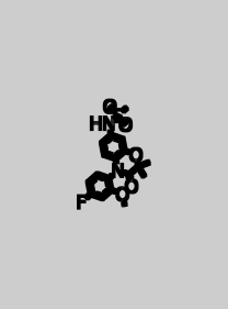 COc1cc(F)ccc1N1C(=O)C(C)(C)Oc2cc(NS(C)(=O)=O)ccc21